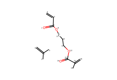 C=C(C)C.C=CC(=O)OCCCOC(=O)C(=C)C